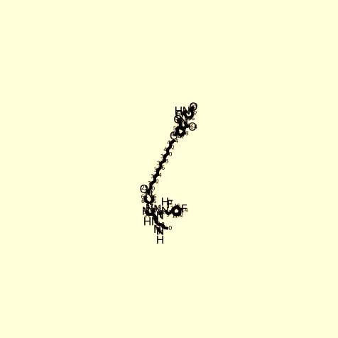 Cc1cc(Nc2nc(NCc3ccc(F)cc3F)nc3c2cnn3C2CCN(C(=O)CCCCCCCCCCCCCCCOc3ccc4c(c3)C(=O)N(C3CCC(=O)NC3=O)C4=O)CC2)n[nH]1